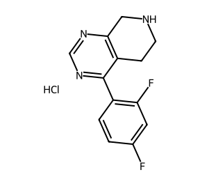 Cl.Fc1ccc(-c2ncnc3c2CCNC3)c(F)c1